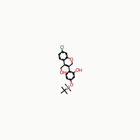 CC(C)(C)[Si](C)(C)Oc1ccc(C2=C(CO)c3ccc(Cl)cc3OC2)c(O)c1